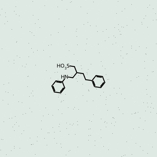 O=S(=O)(O)CC(CCc1ccccc1)CNc1ccccc1